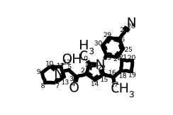 Cc1c(C(=O)CN2C3CCC2[C@H](O)C3)cc(C(C)C2CCC2)n1-c1ccc(C#N)cc1